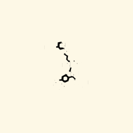 Cc1ccnc(NCCCC(=O)NCC(=O)NC(CC(=O)O)c2ccc(Cl)c([N+](=O)[O-])c2)c1.[Na+]